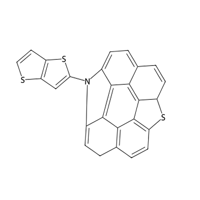 C1=CC2Sc3ccc4c5c3c2c2c1ccc1c2c5c(n1-c1cc2sccc2s1)=CC4